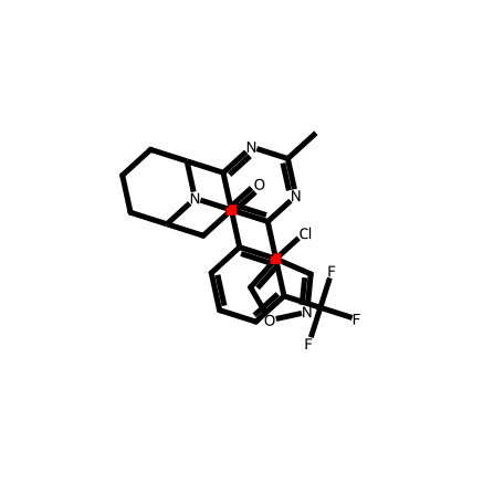 Cc1nc(-c2cnoc2)c2c(n1)C1CCCC(C2)N1C(=O)c1cccc(C(F)(F)F)c1Cl